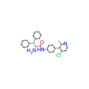 Cc1nccc(Cl)c1-c1ccc(NC(=O)C(N)C(c2ccccc2)c2ccccc2)cc1